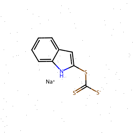 S=C([S-])Sc1cc2ccccc2[nH]1.[Na+]